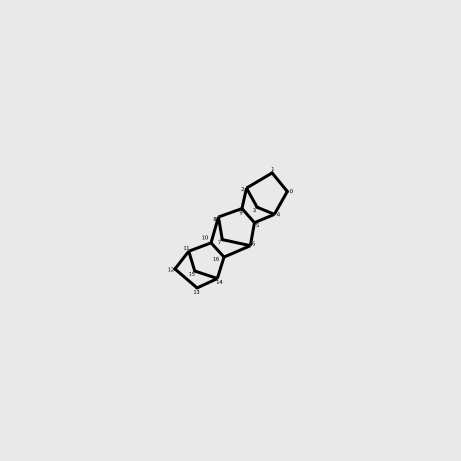 C1CC2CC1C1C3CC(C21)C1C2CCC(C2)C31